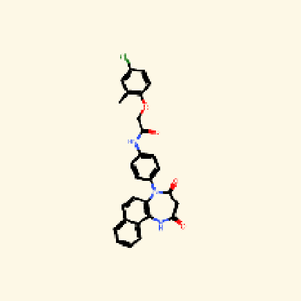 Cc1cc(Cl)ccc1OCC(=O)Nc1ccc(N2C(=O)CC(=O)Nc3c2ccc2ccccc32)cc1